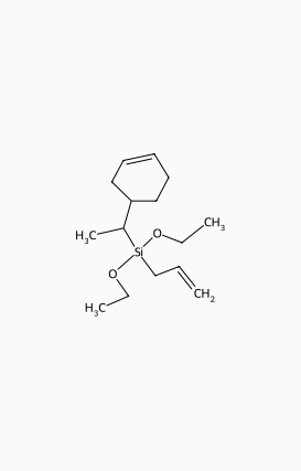 C=CC[Si](OCC)(OCC)C(C)C1CC=CCC1